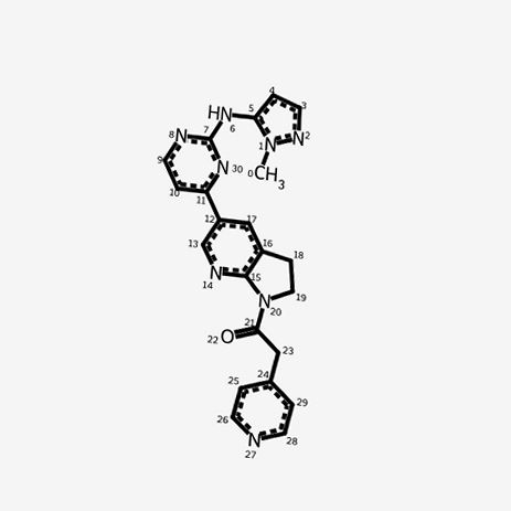 Cn1nccc1Nc1nccc(-c2cnc3c(c2)CCN3C(=O)Cc2ccncc2)n1